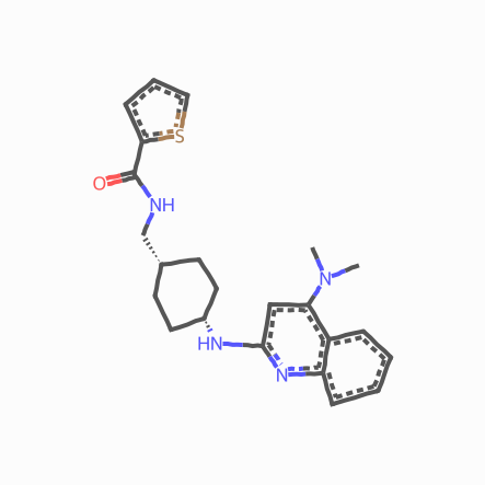 CN(C)c1cc(N[C@H]2CC[C@@H](CNC(=O)c3cccs3)CC2)nc2ccccc12